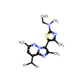 CCC(CC)c1cc(C)nn2c(-c3sc(N(C)CC=O)nc3C)c(C)nc12